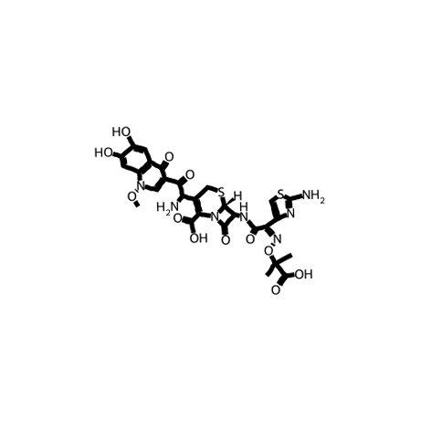 COn1cc(C(=O)C(N)C2=C(C(=O)O)N3C(=O)C(NC(=O)/C(=N\OC(C)(C)C(=O)O)c4csc(N)n4)[C@H]3SC2)c(=O)c2cc(O)c(O)cc21